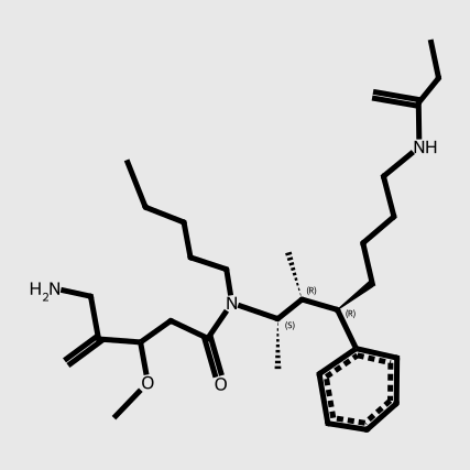 C=C(CC)NCCCC[C@@H](c1ccccc1)[C@@H](C)[C@H](C)N(CCCCC)C(=O)CC(OC)C(=C)CN